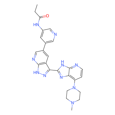 CCC(=O)Nc1cncc(-c2cnc3[nH]nc(-c4nc5c(N6CCN(C)CC6)ccnc5[nH]4)c3c2)c1